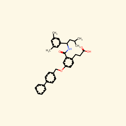 Cc1cc(C)cc(C(CC(C)C)NC(=O)c2cc(OCc3ccc(-c4ccccc4)cc3)ccc2CCC(=O)O)c1